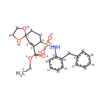 CCOC(=O)C1=CC2(CCC1S(=O)(=O)Nc1ccccc1Cc1ccccc1)OCCO2